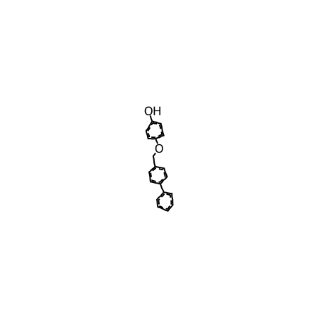 Oc1ccc(OCc2ccc(-c3ccccc3)cc2)cc1